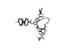 CC(C)(C)OC(=O)NC1CCCCC/C=C/C2CC2(C(=O)NS(=O)(=O)C2CC2)NC(=O)C2CC(OC(=O)c3ccc(-c4ccccc4)cc3)CN2C1=O